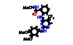 CONC(=O)c1ccccc1Nc1nc(Nc2ccc(OC)c(OC)c2)ncc1C(F)(F)F